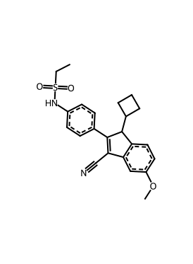 CCS(=O)(=O)Nc1ccc(C2=C(C#N)c3cc(OC)ccc3C2C2CCC2)cc1